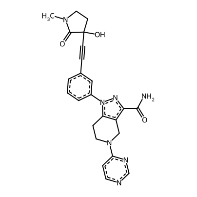 CN1CCC(O)(C#Cc2cccc(-n3nc(C(N)=O)c4c3CCN(c3ccncn3)C4)c2)C1=O